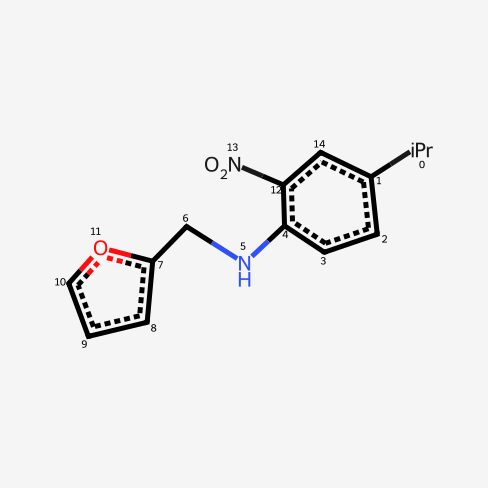 CC(C)c1ccc(NCc2ccco2)c([N+](=O)[O-])c1